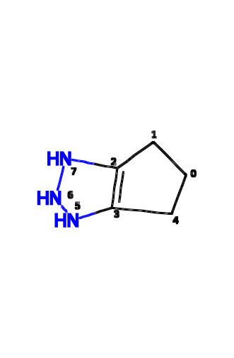 C1CC2=C(C1)NNN2